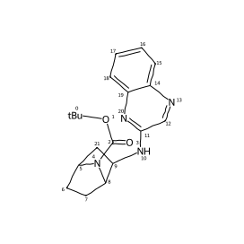 CC(C)(C)OC(=O)N1C2CCC1C(Nc1cnc3ccccc3n1)C2